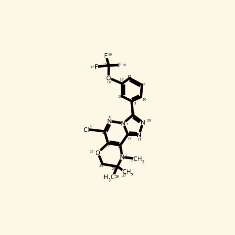 CN1c2c(c(Cl)nn3c(-c4cccc(OC(F)(F)F)c4)nnc23)OCC1(C)C